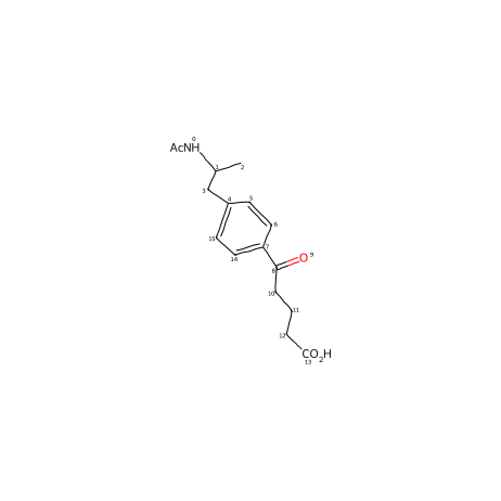 CC(=O)NC(C)Cc1ccc(C(=O)CCCC(=O)O)cc1